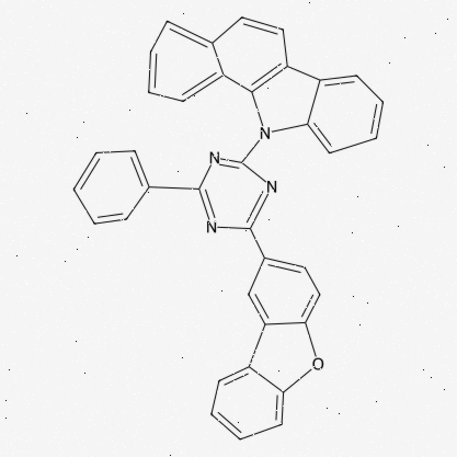 c1ccc(-c2nc(-c3ccc4oc5ccccc5c4c3)nc(-n3c4ccccc4c4ccc5ccccc5c43)n2)cc1